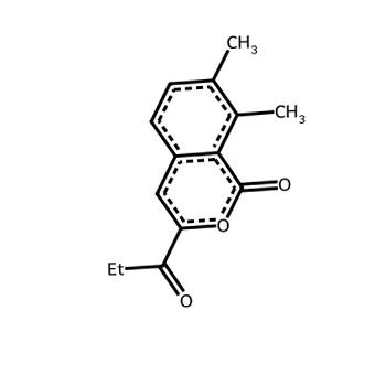 CCC(=O)c1cc2ccc(C)c(C)c2c(=O)o1